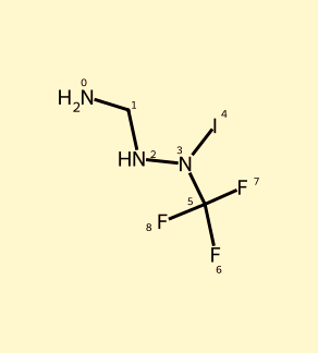 NCNN(I)C(F)(F)F